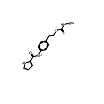 CC(C)(C)NC(=O)OCCc1ccc(NC(=O)C2CCCN2)cc1